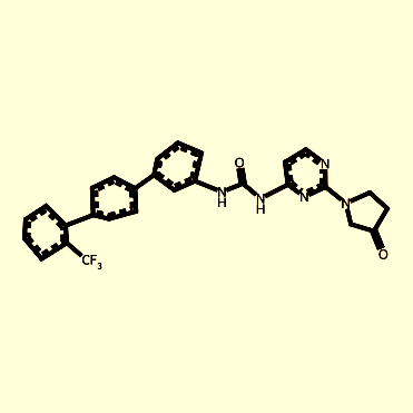 O=C1CCN(c2nccc(NC(=O)Nc3cccc(-c4ccc(-c5ccccc5C(F)(F)F)cc4)c3)n2)C1